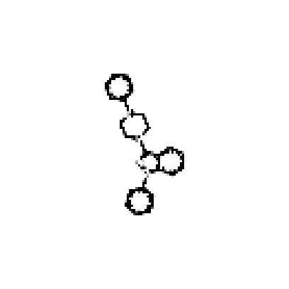 c1ccc(N2CCN(c3nn(-c4ccccc4)c4ccccc34)CC2)cc1